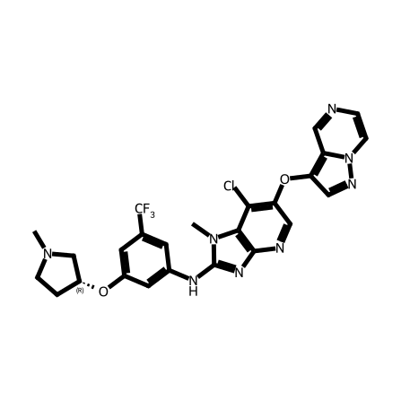 CN1CC[C@@H](Oc2cc(Nc3nc4ncc(Oc5cnn6ccncc56)c(Cl)c4n3C)cc(C(F)(F)F)c2)C1